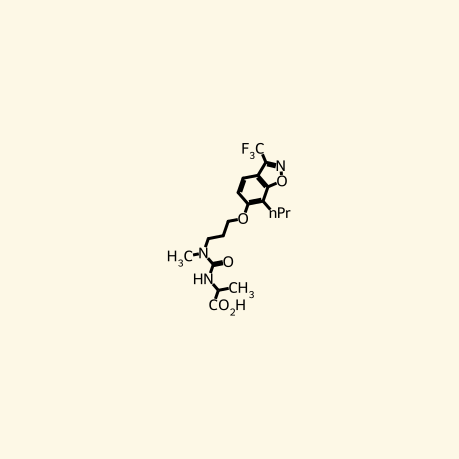 CCCc1c(OCCCN(C)C(=O)NC(C)C(=O)O)ccc2c(C(F)(F)F)noc12